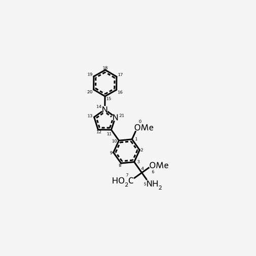 COc1cc(C(N)(OC)C(=O)O)ccc1-c1ccn(-c2ccccc2)n1